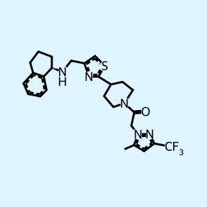 Cc1cc(C(F)(F)F)nn1CC(=O)N1CCC(c2nc(CN[C@@H]3CCCc4ccccc43)cs2)CC1